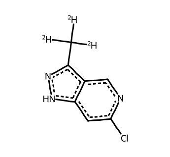 [2H]C([2H])([2H])c1n[nH]c2cc(Cl)ncc12